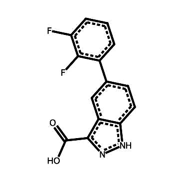 O=C(O)c1n[nH]c2ccc(-c3cccc(F)c3F)cc12